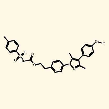 CCOc1ccc(-c2c(C)nn(-c3ccc(CCOC(=O)NS(=O)(=O)c4ccc(C)cc4)cc3)c2C)cc1